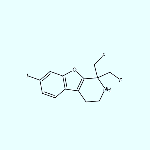 FCC1(CF)NCCc2c1oc1cc(I)ccc21